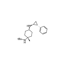 CC(C)(C)N[C@]1(C)CC[C@@H](N[C@H]2C[C@@H]2c2ccccc2)CC1